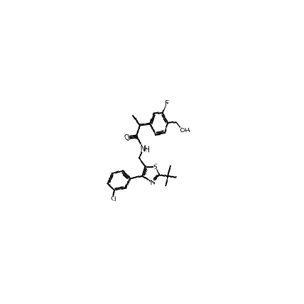 CC(C(=O)NCc1sc(C(C)(C)C)nc1-c1cccc(Cl)c1)c1ccc(CO)c(F)c1